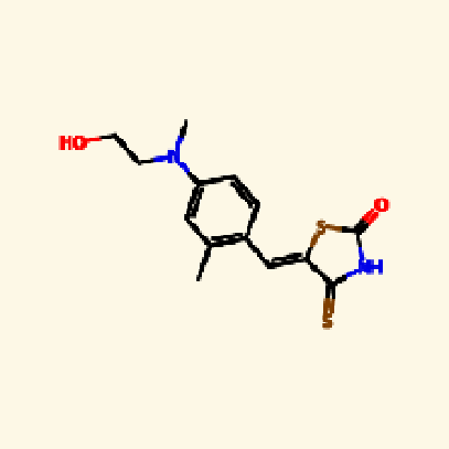 Cc1cc(N(C)CCO)ccc1/C=C1\SC(=O)NC1=S